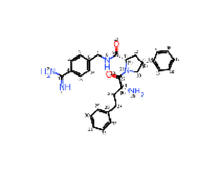 N=C(N)c1ccc(CNC(=O)[C@@H]2C[C@H](c3ccccc3)CN2C(=O)[C@H](N)CCc2ccccc2)cc1